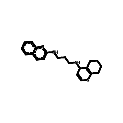 C1=CC(NCCCNc2ccc3ccccc3n2)C2=C(CCCC2)S1